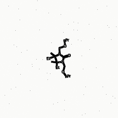 CCCOCN1C(=O)N(COCCC)C(C)(CC)C1(C)CC